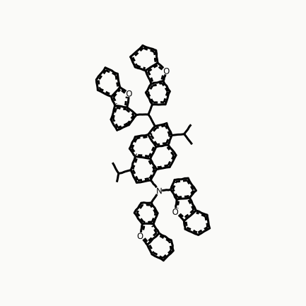 CC(C)c1cc(C(c2ccc3oc4ccccc4c3c2)c2cccc3c2oc2ccccc23)c2ccc3c(C(C)C)cc(N(c4ccc5oc6ccccc6c5c4)c4cccc5c4oc4ccccc45)c4ccc1c2c34